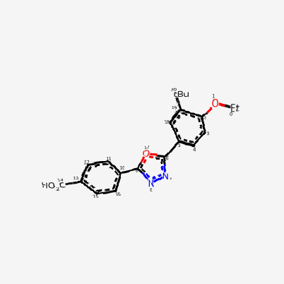 CCOc1ccc(-c2nnc(-c3ccc(C(=O)O)cc3)o2)cc1C(C)(C)C